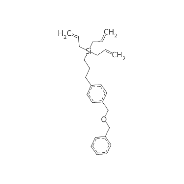 C=CC[Si](CC=C)(CC=C)CCCc1ccc(COCc2ccccc2)cc1